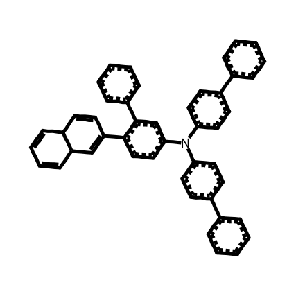 C1=CC2C=CC(c3ccc(N(c4ccc(-c5ccccc5)cc4)c4ccc(-c5ccccc5)cc4)cc3-c3ccccc3)=CC2C=C1